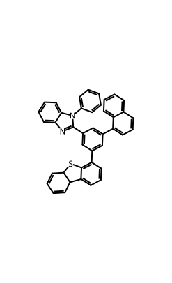 C1=CC2Sc3c(-c4cc(-c5cccc6ccccc56)cc(-c5nc6ccccc6n5-c5ccccc5)c4)cccc3C2C=C1